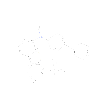 CN(c1ccc(C2CCCCC2)cc1)c1cccc2c1sc1c([Si](C)(C)C)cccc12